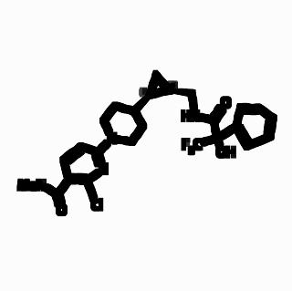 CNC(=O)c1ccc(N2CCC([C@H]3C[C@H]3CNC(=O)C(O)(c3ccccc3)C(F)(F)F)CC2)nc1Cl